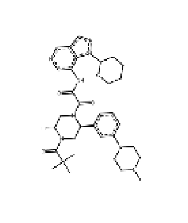 C[C@@H]1CN(C(=O)C(=O)Nc2cncc3cnn(C4CCCCO4)c23)[C@@H](c2cccc(N3CCN(C)CC3)c2)CN1C(=O)C(C)(C)C